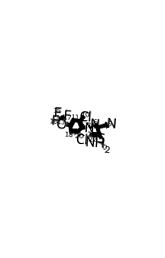 CSc1c(C#N)nn(-c2c(Cl)cc(OC(F)(F)F)cc2Cl)c1N